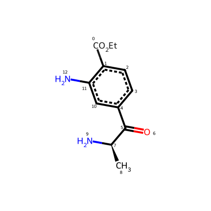 CCOC(=O)c1ccc(C(=O)[C@@H](C)N)cc1N